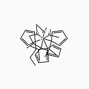 CCC[C]1([Ti]([N](C)C)([N](C)C)([N](C)C)([C]2(C(C)C)C=CC=C2)([C]2(C(C)C)C=CC=C2)[C]2(C(C)C)C=CC=C2)C=CC=C1